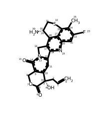 C=CC[C@@]1(O)C(=O)OCc2c1cc1n(c2=O)Cc2c-1nc1cc(F)c(C)c3c1c2[C@H](N)CS3